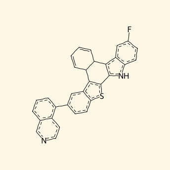 Fc1ccc2[nH]c3c(c2c1)C1C=CC=CC1c1c-3sc2ccc(-c3cccc4cnccc34)cc12